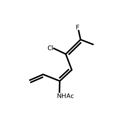 C=C/C(=C\C(Cl)=C(/C)F)NC(C)=O